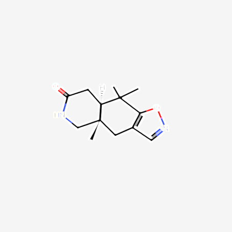 CC1(C)c2oncc2C[C@]2(C)CNC(=O)C[C@@H]12